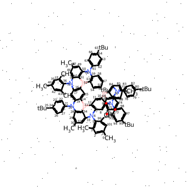 Cc1cc(C)c(N2c3cc4c(cc3B3c5cc6c(cc5N(c5ccc(C(C)(C)C)cc5)c5cc(C)cc2c53)N(c2c(C)cc(C)cc2C)c2cc(C)cc3c2B6c2cc(C(C)(C)C)ccc2N3c2ccc(C(C)(C)C)cc2)B2c3cc(C(C)(C)C)ccc3N(c3ccc(C(C)(C)C)cc3)c3cc(C)cc(c32)N4c2ccc(C(C)(C)C)cc2)c(C)c1